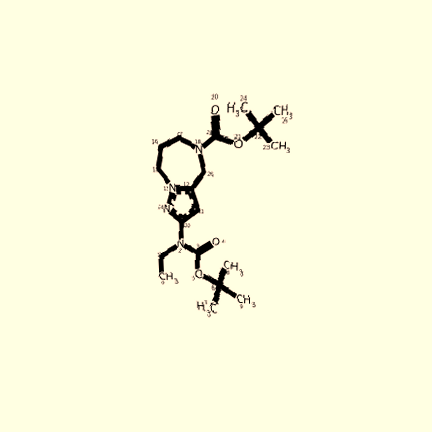 CCN(C(=O)OC(C)(C)C)c1cc2n(n1)CCCN(C(=O)OC(C)(C)C)C2